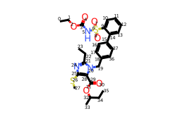 CCOC(=O)NS(=O)(=O)c1ccccc1-c1ccc(Cn2c(CC)nc(SC)c2C(=O)OC(C)CC)cc1